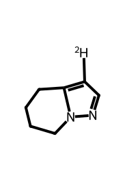 [2H]c1cnn2c1CCCC2